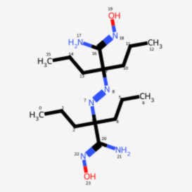 CCCC(CCC)(N=NC(CCC)(CCC)C(N)=NO)C(N)=NO